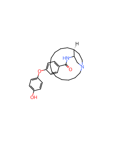 O=C(NC1CN2CCCCCCCCCCC[C@H]1CC2)c1ccc(Oc2ccc(O)cc2)cc1